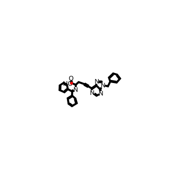 O=C(O)C(CC#Cc1ncnc2c1ncn2Cc1ccccc1)N=C(c1ccccc1)c1ccccc1